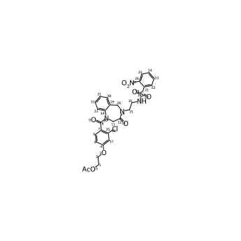 CC(=O)OCCOc1ccc(C(=O)N2CC(=O)N(CCNS(=O)(=O)c3ccccc3[N+](=O)[O-])Cc3ccccc32)c(Cl)c1